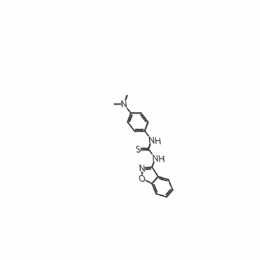 CN(C)c1ccc(NC(=S)Nc2noc3ccccc23)cc1